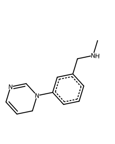 CNCc1cccc(N2C=NC=CC2)c1